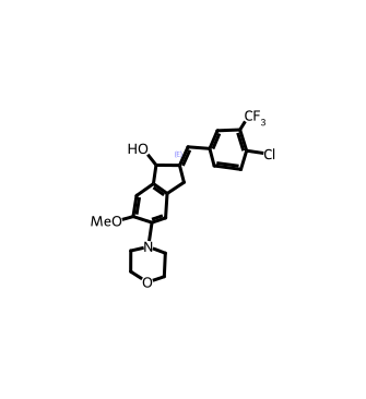 COc1cc2c(cc1N1CCOCC1)C/C(=C\c1ccc(Cl)c(C(F)(F)F)c1)C2O